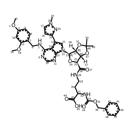 COc1ccc(CNc2ncnc3c2c(-c2ccn(C)n2)cn3[C@@H]2O[C@H](C(=O)NCCC(NC(=O)OCc3ccccc3)C(=O)O)[C@H]3OC(C)(C)O[C@H]32)c(OC)c1